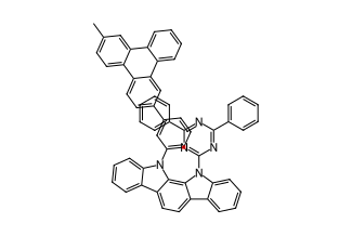 Cc1ccc2c3ccc(-c4cccc(-n5c6ccccc6c6ccc7c8ccccc8n(-c8nc(-c9ccccc9)nc(-c9ccccc9)n8)c7c65)c4)cc3c3ccccc3c2c1